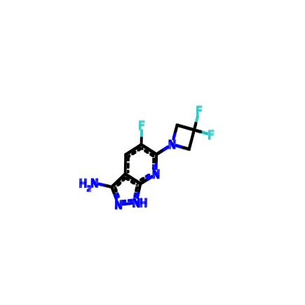 Nc1n[nH]c2nc(N3CC(F)(F)C3)c(F)cc12